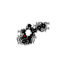 CC(c1ccccc1)C1NC(=O)CNC(=O)C(CO)NC(=O)C(C(O)C2CNC(=N)N2C2OC(CO)C(O)C(O)C2O)NC(=O)C(C(O)C2CNC(=N)N2)NC(=O)C(Cc2ccc(OC3OC(CO)C(OC4OC(CO)C(O)C(C)C4O)C(O)C3O)cc2)NC1=O